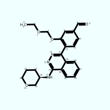 CCOCOc1cc(C=O)ccc1-c1nnc(N[C@@H]2CCCOC2)c2ccccc12